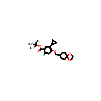 CC(C)(C)OC(=O)c1cc(C2CC2)c(OCC2CCC3(CC2)OCCO3)cc1F